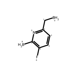 BCc1ccc(F)c(B)n1